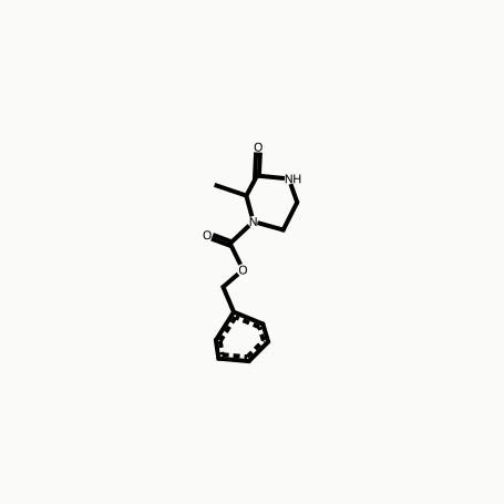 CC1C(=O)NCCN1C(=O)OCc1ccccc1